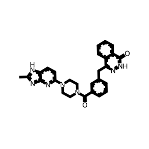 Cc1nc2nc(N3CCN(C(=O)c4cccc(Cc5n[nH]c(=O)c6ccccc56)c4)CC3)ccc2[nH]1